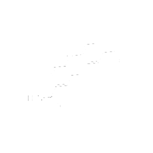 NC(=O)c1ccc(Oc2ccc(CCl)cc2)c(F)c1